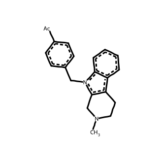 CC(=O)c1ccc(Cn2c3c(c4ccccc42)CCN(C)C3)cc1